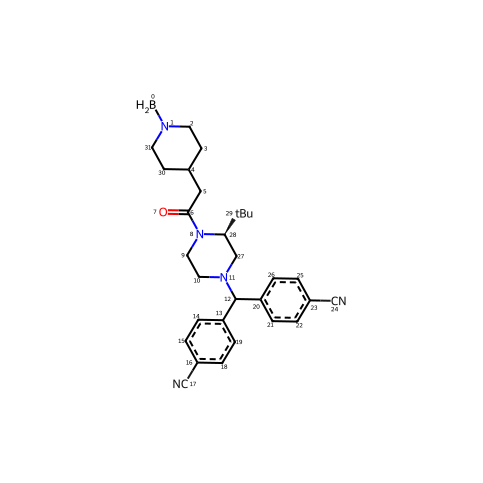 BN1CCC(CC(=O)N2CCN(C(c3ccc(C#N)cc3)c3ccc(C#N)cc3)C[C@@H]2C(C)(C)C)CC1